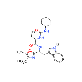 CCn1cc(C[C@@H](NC(=O)C(CC(C)C)NC(=O)NC2CCCCC2)c2nc(C(=O)O)c(C)o2)c2ccccc21